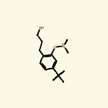 C[SiH](C)Oc1cc(C(C)(C)C)ccc1CCCO